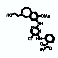 COc1cc2c(cc1Nc1ncc(Cl)c(Nc3ccccc3S(=O)(=O)C(C)C)n1)CN(CCO)CCC2